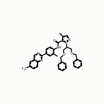 Cc1cc(-c2ncc3cc(C(F)(F)F)ccc3n2)ccc1NC(=O)c1c(C)cnn1C(COCc1ccccc1)COCc1ccccc1